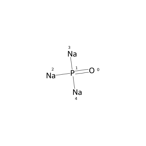 O=[P]([Na])([Na])[Na]